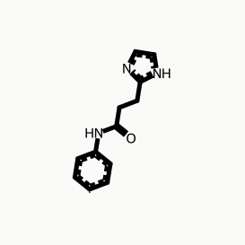 O=C(CCc1ncc[nH]1)Nc1cc[c]cc1